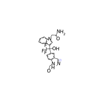 C/N=C\c1cc(C(O)(c2cn(CC(N)=O)c3ccccc23)C(F)(F)F)ccc1NCOC